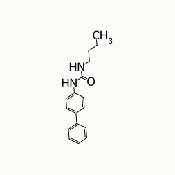 CCCCNC(=O)Nc1ccc(-c2ccccc2)cc1